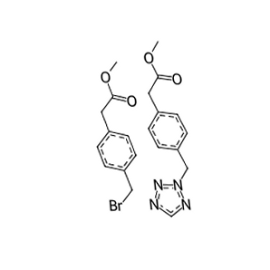 COC(=O)Cc1ccc(CBr)cc1.COC(=O)Cc1ccc(Cn2ncnn2)cc1